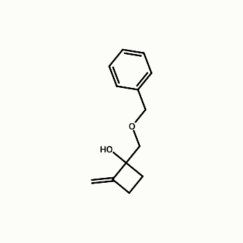 C=C1CCC1(O)COCc1ccccc1